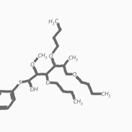 CCCCOCC(C)C(OCCCC)C(OCCCC)C(OC)C(O)Sc1ccccc1